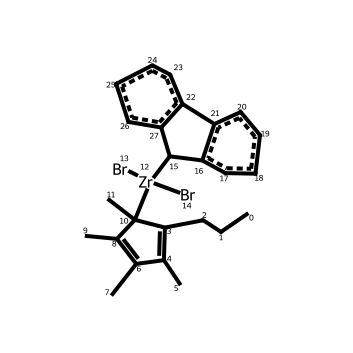 CCCC1=C(C)C(C)=C(C)[C]1(C)[Zr]([Br])([Br])[CH]1c2ccccc2-c2ccccc21